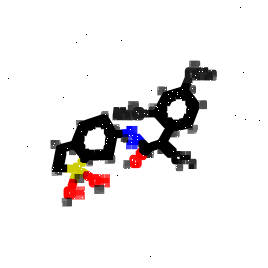 C=C(C(=O)Nc1ccc2c(c1)S(O)(O)C=C2)c1ccc(OC)cc1OC